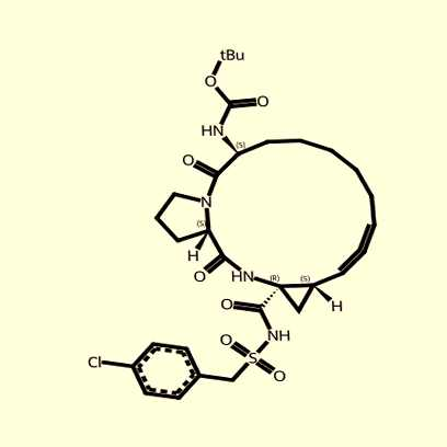 CC(C)(C)OC(=O)N[C@H]1CCCCCC=C=C[C@@H]2C[C@@]2(C(=O)NS(=O)(=O)Cc2ccc(Cl)cc2)NC(=O)[C@@H]2CCCN2C1=O